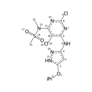 CC(C)Oc1cc(Nc2nc(Cl)nc(N(C)S(C)(=O)=O)c2Cl)n[nH]1